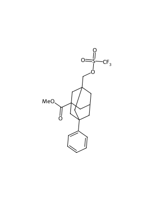 COC(=O)C12CC3CC(COS(=O)(=O)C(F)(F)F)(C1)CC(c1ccccc1)(C3)C2